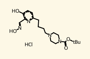 CC(C)(C)OC(=O)N1CCN(CCCCc2ccc(O)c(C=NO)n2)CC1.Cl